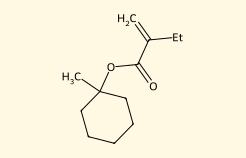 C=C(CC)C(=O)OC1(C)CCCCC1